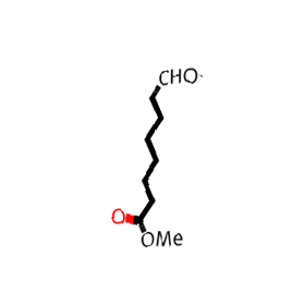 COC(=O)CCCCCC[C]=O